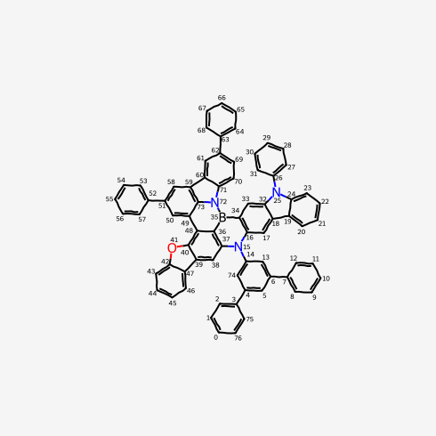 c1ccc(-c2cc(-c3ccccc3)cc(N3c4cc5c6ccccc6n(-c6ccccc6)c5cc4B4c5c3cc3c(oc6ccccc63)c5-c3cc(-c5ccccc5)cc5c6cc(-c7ccccc7)ccc6n4c35)c2)cc1